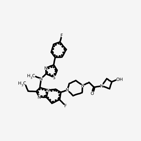 CCc1nc2cc(F)c(N3CCN(CC(=O)N4CC(O)C4)CC3)cn2c1N(C)c1nc(-c2ccc(F)cc2)cs1